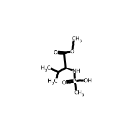 COC(=O)[C@@H](NP(C)(=O)O)C(C)C